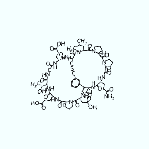 CC(C)C[C@@H]1NC(=O)[C@@H]2CSCc3cccc(c3)C(=S)[C@H](NC(=O)[C@H](CCC(N)=O)NC(=O)[C@@H]3CCCN3C(=O)[C@H]3CCCN3C1=O)C(=O)N[C@@H](CC(=O)O)C(=O)N1CCC[C@H]1C(=O)N[C@@H](CCC(=O)O)C(=O)N[C@@H]([C@@H](C)O)C(=O)NCC(=O)N[C@@H](CCC(=O)O)C(=O)N2